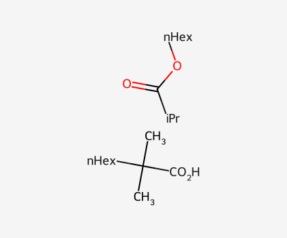 CCCCCCC(C)(C)C(=O)O.CCCCCCOC(=O)C(C)C